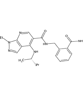 CCn1ncc2c(N[C@@H](C)C(C)C)c(C(=O)NCc3ccccc3C(N)=O)cnc21